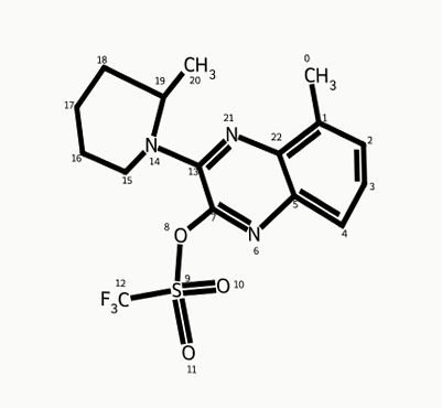 Cc1cccc2nc(OS(=O)(=O)C(F)(F)F)c(N3CCCCC3C)nc12